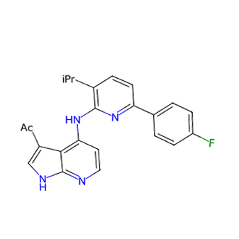 CC(=O)c1c[nH]c2nccc(Nc3nc(-c4ccc(F)cc4)ccc3C(C)C)c12